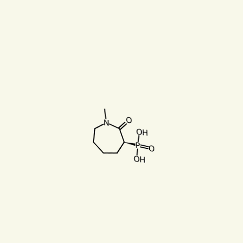 CN1CCCC[C@H](P(=O)(O)O)C1=O